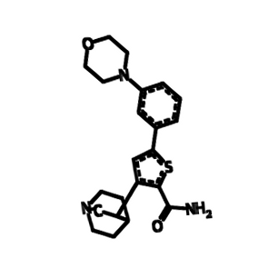 NC(=O)c1sc(-c2cccc(N3CCOCC3)c2)cc1C1CN2CCC1CC2